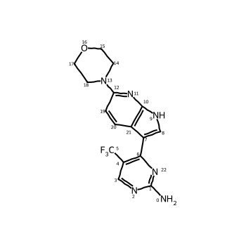 Nc1ncc(C(F)(F)F)c(-c2c[nH]c3nc(N4CCOCC4)ccc23)n1